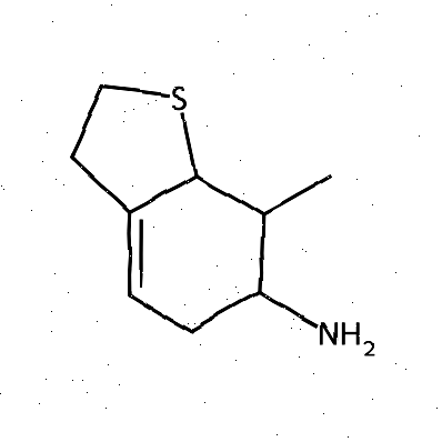 CC1C(N)CC=C2CCSC21